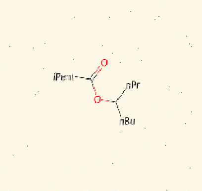 CCCCC(CCC)OC(=O)C(C)CCC